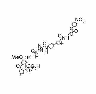 C=C1CC2C(OC3CCCCO3)N(C(=O)O)c3cc(OCCCC(=O)Nc4cn(C)c(C(=O)Nc5ccc(-c6cc(C(=O)NCCCOC(=O)Oc7ccc([N+](=O)[O-])cc7)n(C)c6)cc5)n4)c(OC)cc3C(=O)N2C1